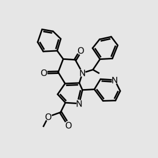 COC(=O)c1cc2c(c(-c3cccnc3)n1)N(C(C)c1ccccc1)C(=O)C(c1ccccc1)C2=O